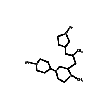 CC(C)N1CCC(N2CCN(C)C(CN(C)CC3CCN(C(C)C)C3)C2)CC1